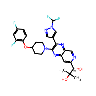 CC(C)(O)[C@@H](O)c1cc2nc(N3CCC(Oc4ccc(F)cc4F)CC3)c(-c3cnn(C(F)F)c3)nc2cn1